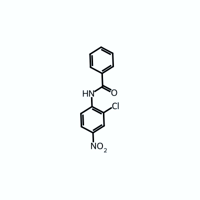 O=C(Nc1ccc([N+](=O)[O-])cc1Cl)c1ccccc1